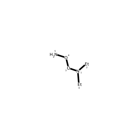 CCN(CC)OON